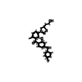 Cc1ccc(N2CC(CCO)N=N2)cc1C(=O)c1ccc(Nc2ccc(F)cc2)cc1Cl